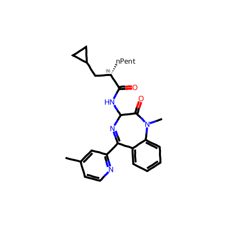 CCCCC[C@@H](CC1CC1)C(=O)NC1N=C(c2cc(C)ccn2)c2ccccc2N(C)C1=O